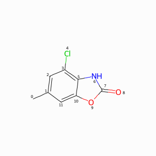 Cc1cc(Cl)c2[nH]c(=O)oc2c1